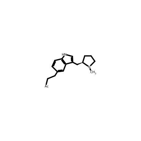 CC(=O)CCc1ccc2[nH]cc(C[C@H]3CCCN3C)c2c1